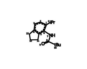 CC(C)c1ccc2c(c1NC(=O)C(C)(C)C)CCC2